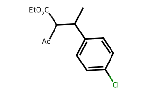 CCOC(=O)C(C(C)=O)C(C)c1ccc(Cl)cc1